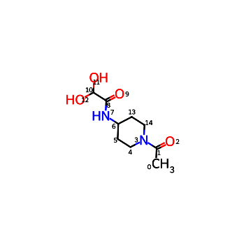 CC(=O)N1CCC(NC(=O)C(O)O)CC1